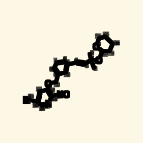 CC(C)(C#Cc1cccc(COc2cc(Br)cnc2N=O)c1)OC1CCCCO1